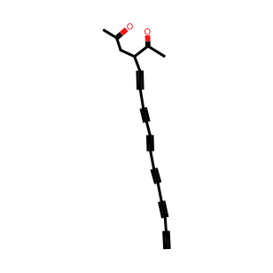 C#CC#CC#CC#CC#CC#CC(CC(C)=O)C(C)=O